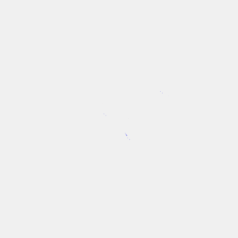 CCN[C@H]1CN(CCOCC)S(=O)(=O)c2sc(S(N)(=O)=O)cc21